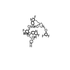 COc1ccc2ncc(F)c(CCCC3(C(O)CCOc4cc(F)cc(F)c4F)CCNCC3)c2c1.COc1ccc2ncc(F)c(CCCC3(CO)CCN(CCOc4cc(F)cc(F)c4)CC3)c2c1